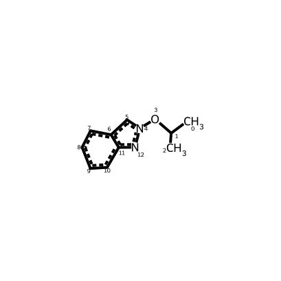 CC(C)On1cc2ccccc2n1